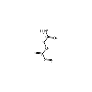 [CH]=CC(=[CH])OCC(N)=O